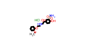 COc1ccccc1OCCNCC(O)c1ccc(O)c(S(N)(=O)=O)c1.Cl